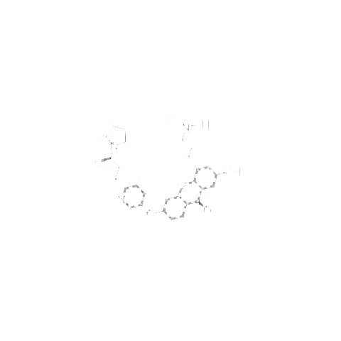 Cc1cc(OCCN(C)C)c2oc3cc(Oc4ccc(CCC(=O)N5CCCC5)nc4)ccc3c(=O)c2c1